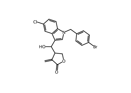 C=C1C(=O)OCC1C(O)c1cn(Cc2ccc(Br)cc2)c2ccc(Cl)cc12